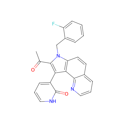 CC(=O)c1c(-c2ccc[nH]c2=O)c2c3ncccc3ccc2n1Cc1ccccc1F